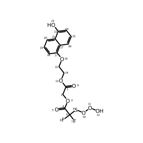 O=C(COC(=O)C(F)(F)SOOO)OCCOc1cccc2c(O)cccc12